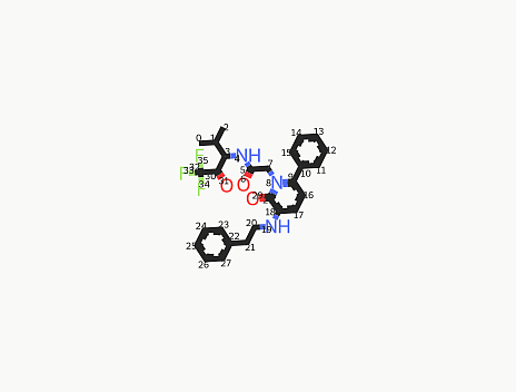 CC(C)C(NC(=O)Cn1c(-c2ccccc2)ccc(NCCc2ccccc2)c1=O)C(=O)C(F)(F)F